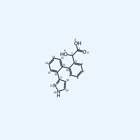 O=C(O)C(O)c1ccccc1-c1ccccc1-c1cc[nH]n1